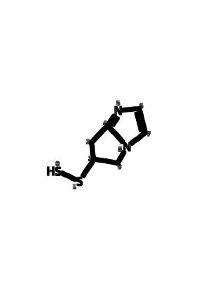 SSC1Cc2nccn2C1